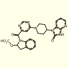 O=C(O)OC1Cc2ccccc2N1C(=O)c1cc(N2CCC(n3c(=O)[nH]c4ncccc43)CC2)ncn1